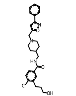 O=C(NCC1CCN(Cc2cc(-c3ccccc3)no2)CC1)c1ccc(Cl)c(CCCO)c1